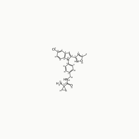 Cc1nc(-c2cc3cc(Cl)ccc3n2-c2ccc(CNC(=O)C3(N)CC3)cc2)no1